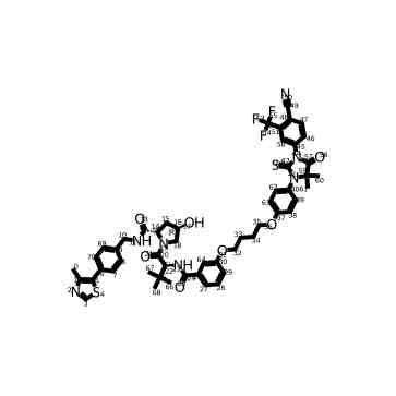 Cc1ncsc1-c1ccc(CNC(=O)[C@@H]2C[C@@H](O)CN2C(=O)[C@@H](NC(=O)c2cccc(OCCCCOc3ccc(N4C(=S)N(c5ccc(C#N)c(C(F)(F)F)c5)C(=O)C4(C)C)cc3)c2)C(C)(C)C)cc1